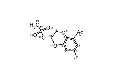 CC(=O)c1cc(F)cc2c1OC[C@@H](OS(C)(=O)=O)O2